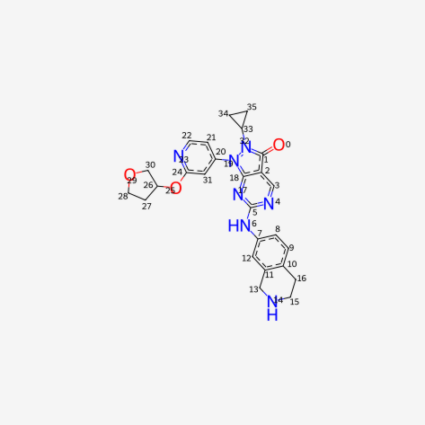 O=c1c2cnc(Nc3ccc4c(c3)CNCC4)nc2n(-c2ccnc(OC3CCOC3)c2)n1C1CC1